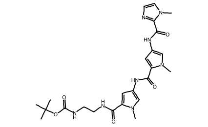 Cn1cc(NC(=O)c2cc(NC(=O)c3nccn3C)cn2C)cc1C(=O)NCCNC(=O)OC(C)(C)C